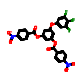 O=C(Oc1cc(OC(=O)c2ccc([N+](=O)[O-])cc2)cc(Oc2cc(F)c(F)c(F)c2)c1)c1ccc([N+](=O)[O-])cc1